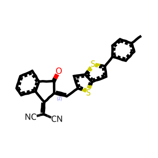 Cc1ccc(-c2cc3sc(/C=C4\C(=O)c5ccccc5C4=C(C#N)C#N)cc3s2)cc1